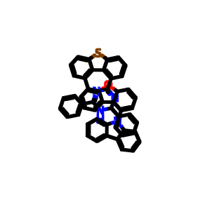 C1=CC2Oc3c(-c4cccc5sc6cccc(C7=NC(c8ccccc8)NC(c8ccccc8)=N7)c6c45)cccc3C2C(n2c3ccccc3c3ccccc32)=C1